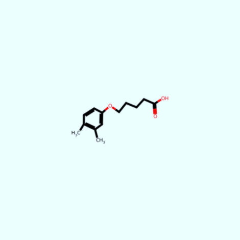 Cc1ccc(OCCCCC(=O)O)cc1C